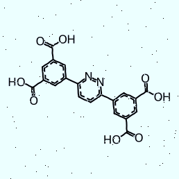 O=C(O)c1cc(C(=O)O)cc(-c2ccc(-c3cc(C(=O)O)cc(C(=O)O)c3)nn2)c1